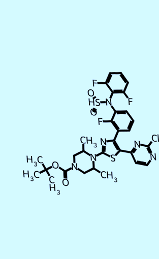 CC1CN(C(=O)OC(C)(C)C)CC(C)N1c1nc(-c2cccc(N(c3c(F)cccc3F)[SH](=O)=O)c2F)c(-c2ccnc(Cl)n2)s1